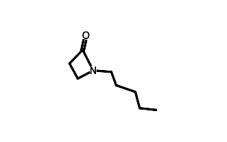 CCCCCN1CCC1=O